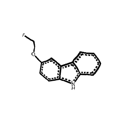 FCOc1ccc2[nH]c3ccccc3c2c1